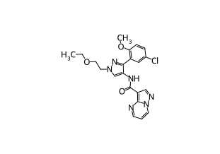 CCOCCn1cc(NC(=O)c2cnn3cccnc23)c(-c2cc(Cl)ccc2OC)n1